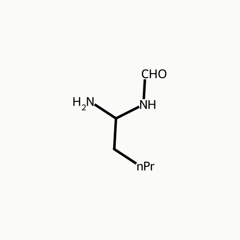 CCCCC(N)NC=O